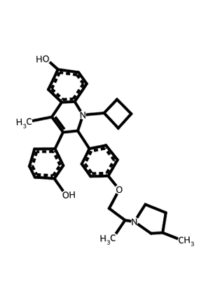 CC1=C(c2cccc(O)c2)C(c2ccc(OCC(C)N3CCC(C)C3)cc2)N(C2CCC2)c2ccc(O)cc21